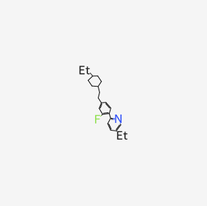 CCc1ccc(-c2ccc(CCC3CCC(CC)CC3)cc2F)nc1